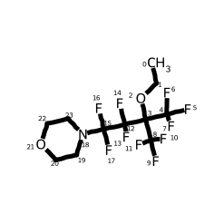 CCOC(C(F)(F)F)(C(F)(F)F)C(F)(F)C(F)(F)N1CCOCC1